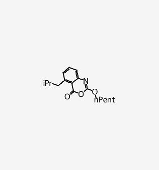 CCCCCOc1nc2cccc(CC(C)C)c2c(=O)o1